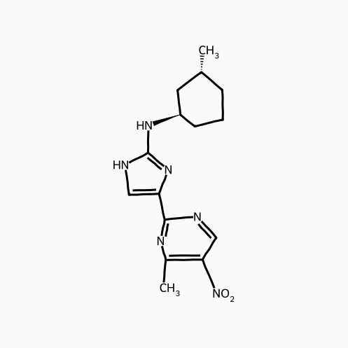 Cc1nc(-c2c[nH]c(N[C@@H]3CCC[C@@H](C)C3)n2)ncc1[N+](=O)[O-]